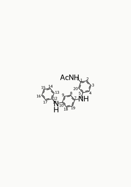 CC(=O)Nc1cccc(Nc2ccc(Nc3ccccc3)cc2)c1